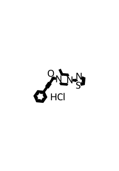 CC1CN(c2nccs2)CCN1C(=O)C#Cc1ccccc1.Cl